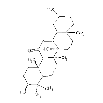 CC1CC[C@]2(C)CC[C@]3(C)C(=CC(=O)C4[C@@]5(C)CC[C@H](O)C(C)(C)C5CC[C@]43C)C2C1